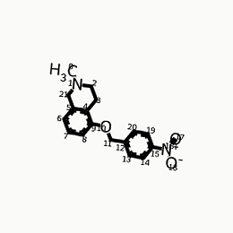 CN1CCc2c(cccc2OCc2ccc([N+](=O)[O-])cc2)C1